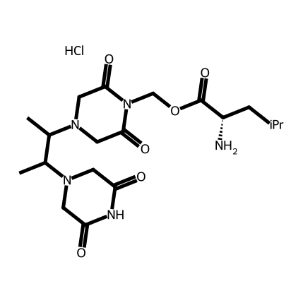 CC(C)C[C@H](N)C(=O)OCN1C(=O)CN(C(C)C(C)N2CC(=O)NC(=O)C2)CC1=O.Cl